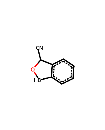 N#CC1OBc2ccccc21